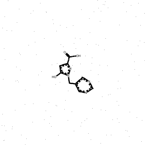 O=C(O)c1cc(O)n(Cc2cncnc2)n1